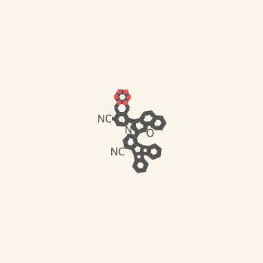 N#Cc1cc2c(c3c1C1c4ccccc4C3c3ccccc31)c1c3ccc4cccc5oc(c3c45)c3c4c5c(c(C#N)cc4n2c13)C1c2ccccc2C12c1ccccc1C52